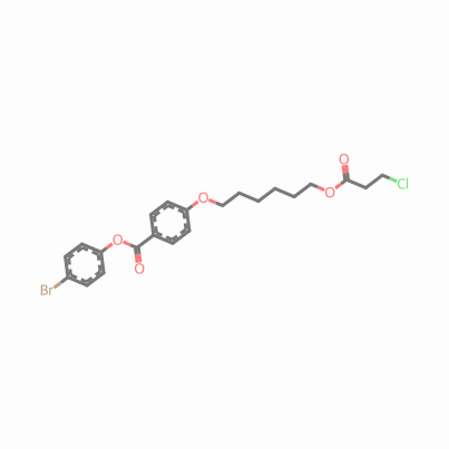 O=C(CCCl)OCCCCCCOc1ccc(C(=O)Oc2ccc(Br)cc2)cc1